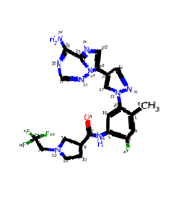 Cc1cc(F)c(NC(=O)C2CCN(CC(F)(F)F)C2)cc1-n1cc(-c2cnc3c(N)ncnn23)cn1